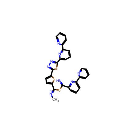 C/N=C(\SC(=N)c1cccc(-c2ccccn2)n1)c1ccc(-c2nnc(-c3cccc(-c4ccccn4)n3)s2)s1